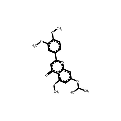 COc1ccc(-c2cc(=O)c3c(OC)cc(OC(C)O)cc3o2)cc1OC